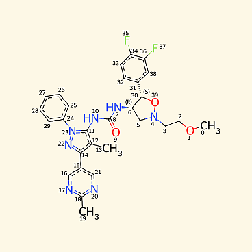 COCCN1C[C@@H](NC(=O)Nc2c(C)c(-c3cnc(C)nc3)nn2-c2ccccc2)[C@H](c2ccc(F)c(F)c2)O1